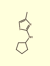 Cc1csc(NC2CCCC2)n1